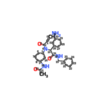 C#CC(=O)N(c1cccc(NC(C)=O)c1)C(C(=O)NCc1ccccc1)c1cccc(N)c1